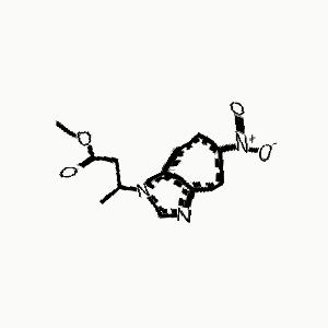 COC(=O)CC(C)n1cnc2cc([N+](=O)[O-])ccc21